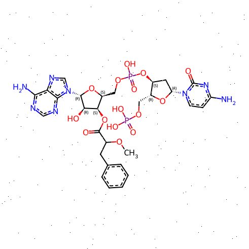 COC(Cc1ccccc1)C(=O)O[C@H]1[C@@H](O)[C@H](n2cnc3c(N)ncnc32)O[C@H]1COP(=O)(O)O[C@H]1C[C@H](n2ccc(N)nc2=O)O[C@@H]1COP(=O)(O)O